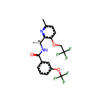 Cc1ccc(OCC(F)(F)F)c([C@@H](C)NC(=O)c2cccc(OC(F)(F)F)c2)n1